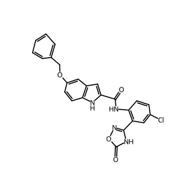 O=C(Nc1ccc(Cl)cc1-c1noc(=O)[nH]1)c1cc2cc(OCc3ccccc3)ccc2[nH]1